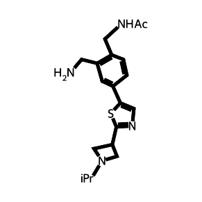 CC(=O)NCc1ccc(-c2cnc(C3CN(C(C)C)C3)s2)cc1CN